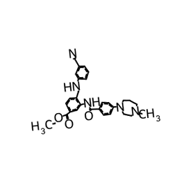 CCOC(=O)c1ccc(CNc2cccc(C#N)c2)c(NC(=O)c2ccc(N3CCCN(C)CC3)cc2)c1